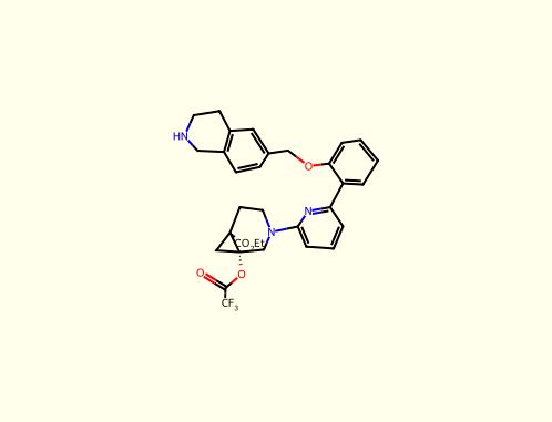 CCOC(=O)[C@@]12CCN(c3cccc(-c4ccccc4OCc4ccc5c(c4)CCNC5)n3)C[C@@]1(OC(=O)C(F)(F)F)C2